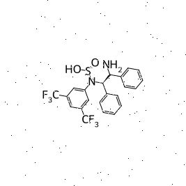 NC(c1ccccc1)[C@@H](c1ccccc1)N(c1cc(C(F)(F)F)cc(C(F)(F)F)c1)S(=O)O